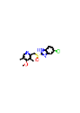 COc1c(C)cnc(C[S+]([O-])c2nc3cc(Cl)ccc3[nH]2)c1C